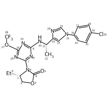 CC[C@H]1COC(=O)N1c1nc(N[C@@H](C)c2cn(-c3ccc(Cl)cc3)cn2)nc(OC(F)(F)F)n1